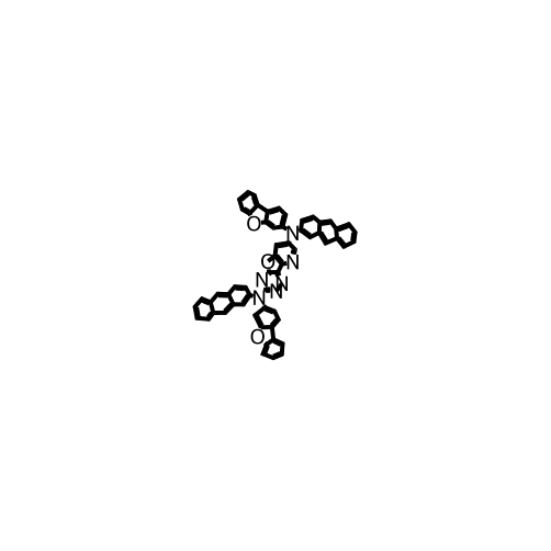 c1ccc2cc3cc(N(c4ccc5c(c4)oc4ccccc45)c4cnc5c(c4)oc4nc(N(c6ccc7cc8ccccc8cc7c6)c6ccc7c(c6)oc6ccccc67)nnc45)ccc3cc2c1